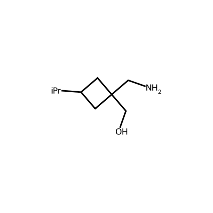 CC(C)C1CC(CN)(CO)C1